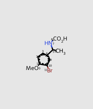 COc1ccc(C(C)NC(=O)O)cc1Br